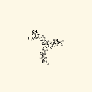 COc1ccc([C@H]2CC[C@H](CN(c3cccc(-c4cnn(C5CC5)c4)c3)C(=O)[C@H]3CC[C@H](OC(=O)N4CC(N)C4)CC3)CC2)cc1C